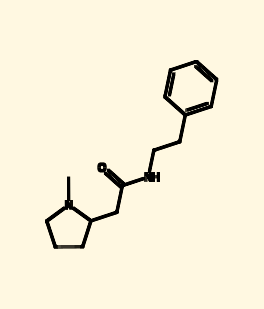 CN1CCCC1CC(=O)NCCc1ccccc1